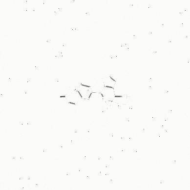 C=C1c2ccsc2C(c2ccc3oc(=S)ccc3c2)=NC1(C)C